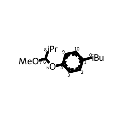 CCC(C)c1ccc(OC(OC)C(C)C)cc1